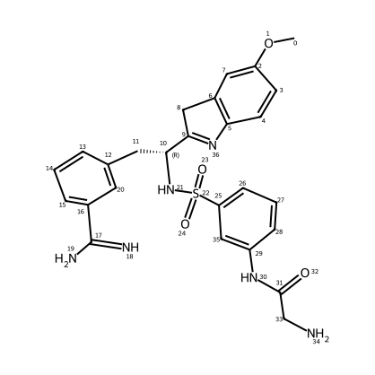 COc1ccc2c(c1)CC([C@@H](Cc1cccc(C(=N)N)c1)NS(=O)(=O)c1cccc(NC(=O)CN)c1)=N2